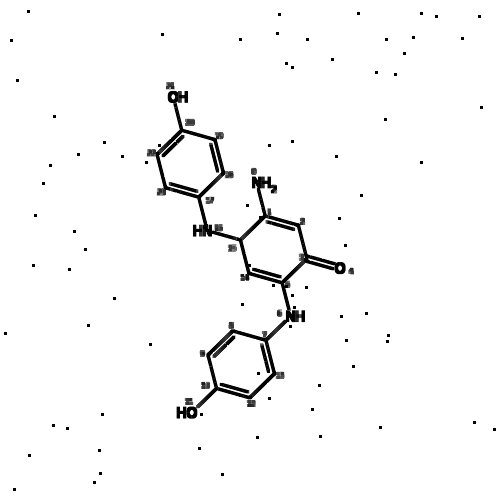 NC1=CC(=O)C(Nc2ccc(O)cc2)=CC1Nc1ccc(O)cc1